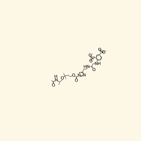 CC(=O)NC(C)COC(C)(C)CCOC(=O)n1cnc(CCNC(=O)CNc2ccc([N+](=O)[O-])cc2[N+](=O)[O-])c1